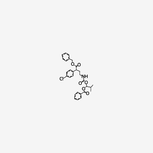 CC(C)C(OC(=O)NCCC(C(=O)OCc1ccccc1)c1ccc(Cl)cc1)OC(=O)c1ccccc1